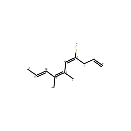 C=CC\C(F)=C/C(C)=C(C)\C=C\C